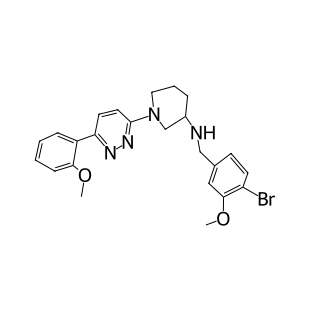 COc1cc(CNC2CCCN(c3ccc(-c4ccccc4OC)nn3)C2)ccc1Br